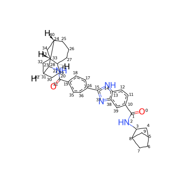 O=C(NC1CC2CCC1C2)c1ccc2[nH]c(-c3ccc(C(=O)NC4[C@H]5CCC[C@H]6CC[C@H]4C[C@@H]6C5)cc3)nc2c1